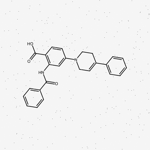 O=C(Nc1cc(N2CC=C(c3ccccc3)CC2)ccc1C(=O)O)c1ccccc1